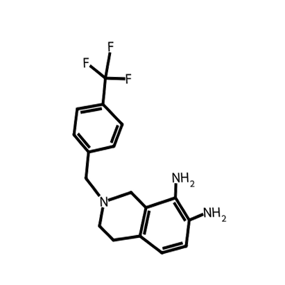 Nc1ccc2c(c1N)CN(Cc1ccc(C(F)(F)F)cc1)CC2